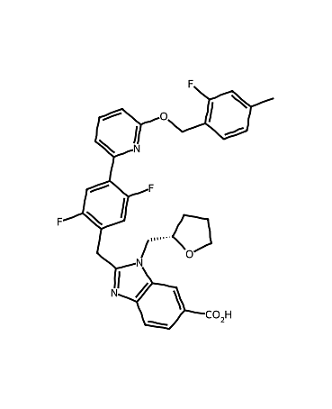 Cc1ccc(COc2cccc(-c3cc(F)c(Cc4nc5ccc(C(=O)O)cc5n4C[C@@H]4CCCO4)cc3F)n2)c(F)c1